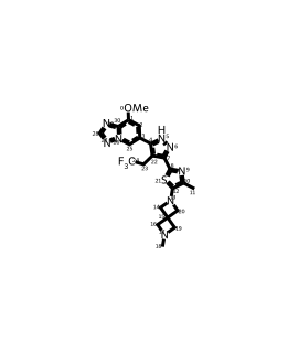 COc1cc(-c2[nH]nc(-c3nc(C)c(N4CC5(CN(C)C5)C4)s3)c2CC(F)(F)F)cn2ncnc12